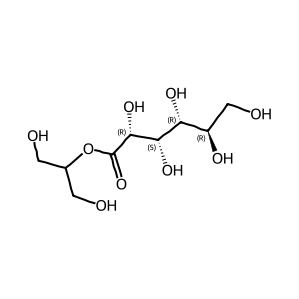 O=C(OC(CO)CO)[C@H](O)[C@@H](O)[C@H](O)[C@H](O)CO